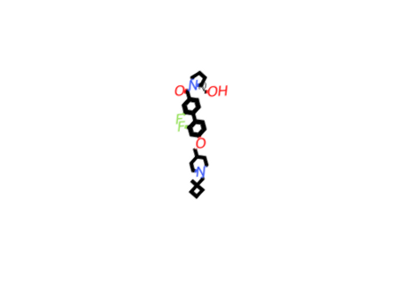 CC1(CN2CCC(COc3ccc(-c4ccc(C(=O)N5CCC[C@@H]5CO)cc4F)c(F)c3)CC2)CCC1